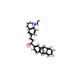 CCN1CCCc2cc(C=CC(=O)c3ccc4c(c3)C3CCC4c4ccccc43)ccc21